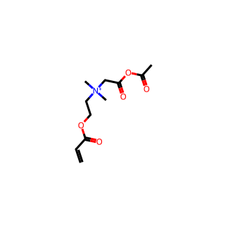 C=CC(=O)OCC[N+](C)(C)CC(=O)OC(C)=O